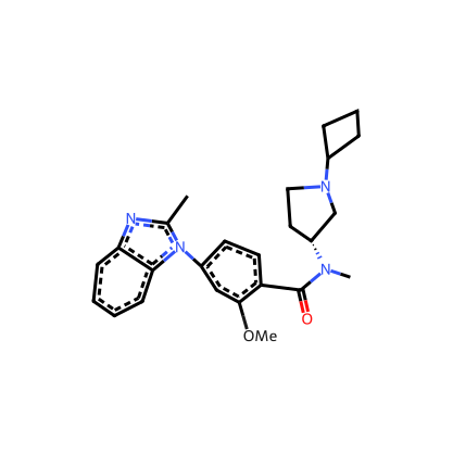 COc1cc(-n2c(C)nc3ccccc32)ccc1C(=O)N(C)[C@@H]1CCN(C2CCC2)C1